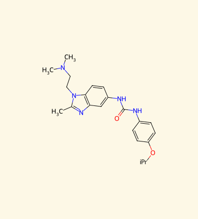 Cc1nc2cc(NC(=O)Nc3ccc(OC(C)C)cc3)ccc2n1CCN(C)C